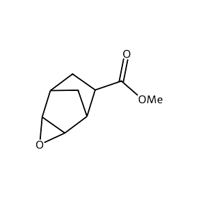 COC(=O)C1CC2CC1C1OC21